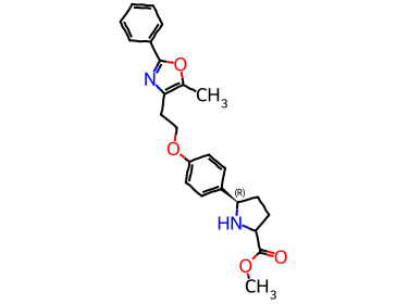 COC(=O)C1CC[C@H](c2ccc(OCCc3nc(-c4ccccc4)oc3C)cc2)N1